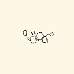 c1ccc(CN2CCN3c4ccnc(CC5CCC5)c4CC[C@@H]3C2)cc1